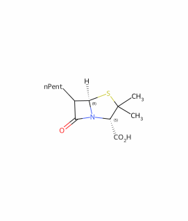 CCCCCC1C(=O)N2[C@@H]1SC(C)(C)[C@@H]2C(=O)O